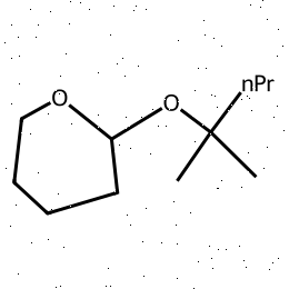 [CH2]CCC(C)(C)OC1CCCCO1